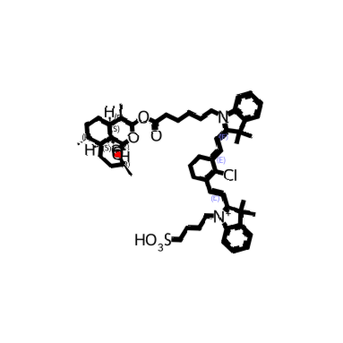 C[C@@H]1CC[C@H]2[C@@H](C)C(OC(=O)CCCCCN3/C(=C/C=C4\CCCC(/C=C/C5=[N+](CCCCS(=O)(=O)O)c6ccccc6C5(C)C)=C4Cl)C(C)(C)c4ccccc43)O[C@@H]3O[C@@]4(C)CC[C@@H]1[C@]32OO4